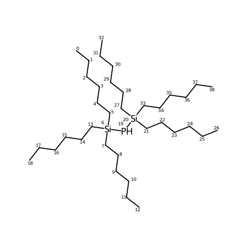 CCCCCC[Si](CCCCCC)(CCCCCC)P[Si](CCCCCC)(CCCCCC)CCCCCC